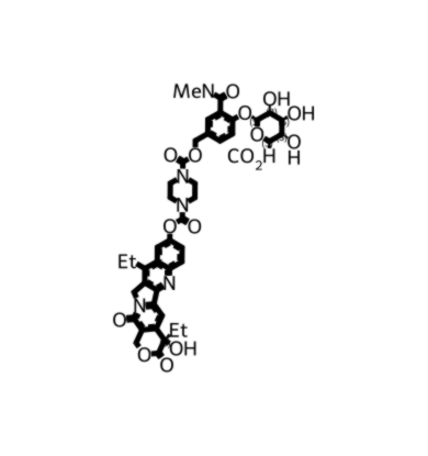 CCc1c2c(nc3ccc(OC(=O)N4CCN(C(=O)OCc5ccc(O[C@@H]6O[C@H](C(=O)O)[C@@H](O)[C@H](O)[C@H]6O)c(C(=O)NC)c5)CC4)cc13)-c1cc3c(c(=O)n1C2)COC(=O)[C@]3(O)CC